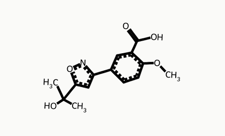 COc1ccc(-c2cc(C(C)(C)O)on2)cc1C(=O)O